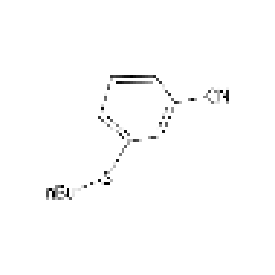 CCCCSc1cccc(C#N)c1